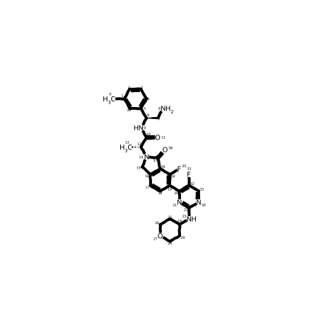 Cc1cccc([C@@H](CN)NC(=O)[C@@H](C)N2Cc3ccc(-c4nc(NC5CCOCC5)ncc4F)c(F)c3C2=O)c1